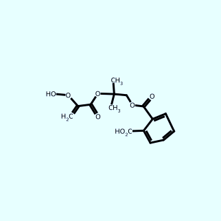 C=C(OO)C(=O)OC(C)(C)COC(=O)c1ccccc1C(=O)O